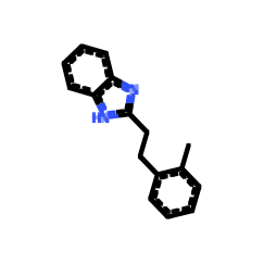 Cc1ccccc1CCc1nc2ccccc2[nH]1